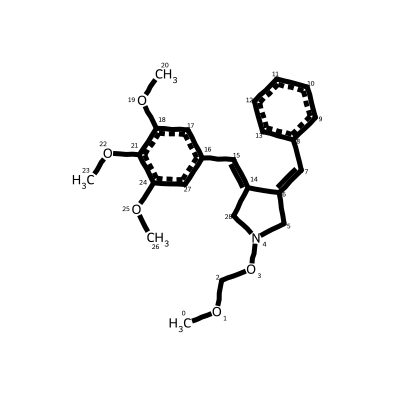 COCON1CC(=Cc2ccccc2)C(=Cc2cc(OC)c(OC)c(OC)c2)C1